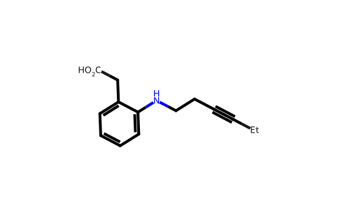 CCC#CCCNc1ccccc1CC(=O)O